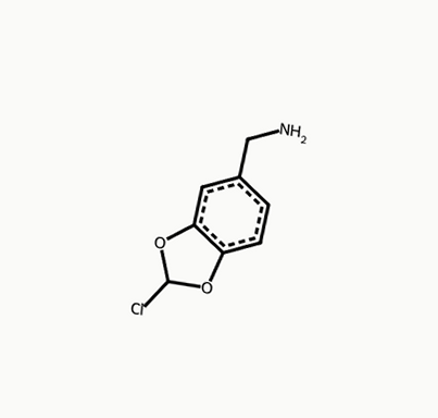 NCc1ccc2c(c1)OC(Cl)O2